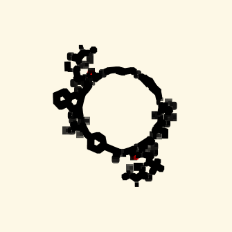 CCC1NC(=O)[C@@H]2C[C@@H](CN2C(=O)[C@@H](NC(=O)[C@H](C)NC)C(C)(C)C)NC(=O)c2ccc(cc2)C[C@@H](C(=O)O)NC(=O)[C@@H]2Cc3ccccc3CC2C(=O)[C@@H]2C[C@@H](CN2C(=O)[C@H](CC)NC(=O)[C@H](C)NC)OC/C=C/COc2ccc(cc2)C[C@@H](C(=O)O)NC1=O